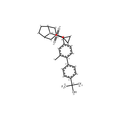 Cc1cc(CN2CC3CCC(C2)N3S(=O)(=O)C2CC2)ccc1-c1ccc(C(O)(C(F)(F)F)C(F)(F)F)cc1